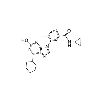 Cc1ccc(C(=O)NC2CC2)cc1-n1cnc2c(C3CCCCC3)nc(O)nc21